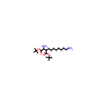 CC(C)(C)OC(=O)C(N)C(CCCCCCCCN)C(=O)OC(C)(C)C